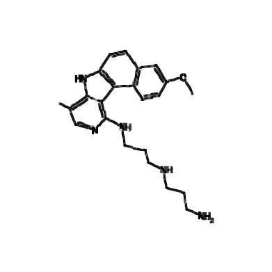 COc1ccc2c(ccc3[nH]c4c(C)cnc(NCCCNCCCN)c4c32)c1